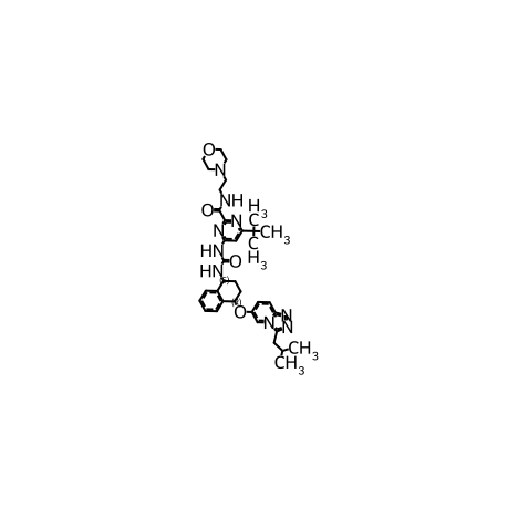 CC(C)Cc1nnc2ccc(O[C@@H]3CC[C@H](NC(=O)Nc4cc(C(C)(C)C)nc(C(=O)NCCN5CCOCC5)n4)c4ccccc43)cn12